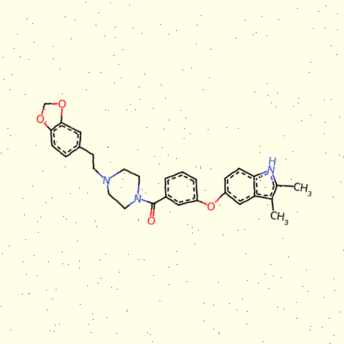 Cc1[nH]c2ccc(Oc3cccc(C(=O)N4CCN(CCc5ccc6c(c5)OCO6)CC4)c3)cc2c1C